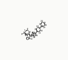 CC(=O)N(c1cccc(C)n1)c1nc(-c2ccc(-c3ccccc3)cc2)cs1